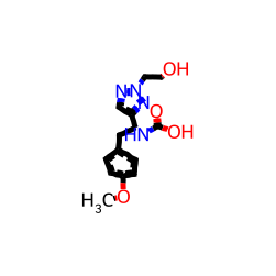 COc1ccc(CC(NC(=O)O)c2cnn(CCO)n2)cc1